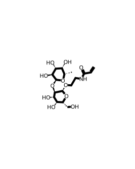 C=CC(=O)NCCO[C@@H]1O[C@H](CO)[C@H](O)[C@H](O)[C@H]1O[C@@H]1O[C@@H](C)[C@@H](O)[C@@H](O)[C@@H]1O